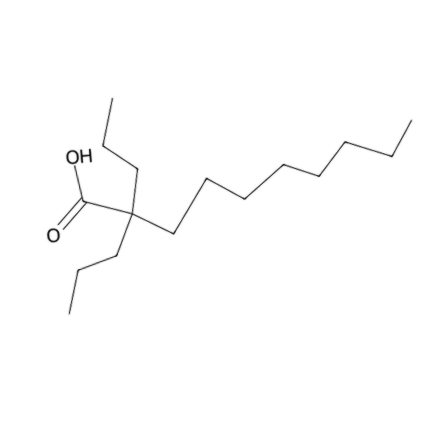 CCCCCCCCC(CCC)(CCC)C(=O)O